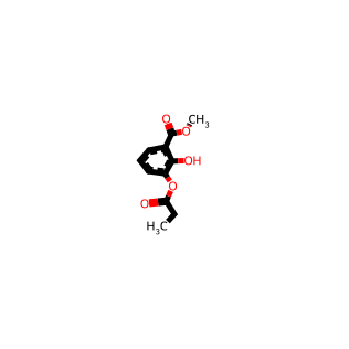 CCC(=O)Oc1cccc(C(=O)OC)c1O